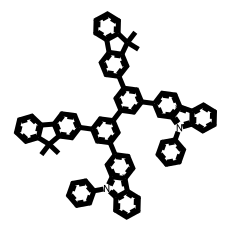 CC1(C)c2ccccc2-c2ccc(-c3cc(-c4cc(-c5ccc6c(c5)C(C)(C)c5ccccc5-6)cc(-c5ccc6c7ccccc7n(-c7ccccc7)c6c5)c4)cc(-c4ccc5c6ccccc6n(-c6ccccc6)c5c4)c3)cc21